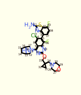 Nc1nc2c(-c3c(Cl)cc4c(N5CC6CCC(C5)N6)nc(OCC5(CN6CCOCC6)CC5)nc4c3F)ccc(F)c2s1